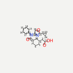 O=C(O)CC1CCCC(C(=O)N(c2ccccc2)c2coc(C3CC3)n2)C1